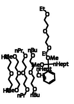 CCCCCCCC.CCCCCCCC(OC)(OC)c1ccccc1.CCCCOCCOCCOCCCC.CCCOCCOCCOCCC.CCOCCOCCOCC.COCCOCCOC.OCCOCCO